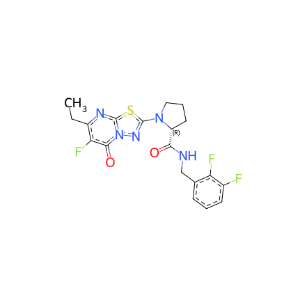 CCc1nc2sc(N3CCC[C@@H]3C(=O)NCc3cccc(F)c3F)nn2c(=O)c1F